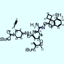 C#CC[C@@H]1C[C@@H](NOc2cc(O[C@@H](C)C(=C)C[C@@H](C)CC)nc(/C(N)=N/OC(=O)C3(c4c(F)cccc4P)CCC3)n2)CCN1C(=O)OC(C)(C)C